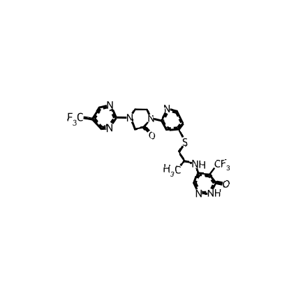 CC(CSc1ccnc(N2CCN(c3ncc(C(F)(F)F)cn3)CC2=O)c1)Nc1cn[nH]c(=O)c1C(F)(F)F